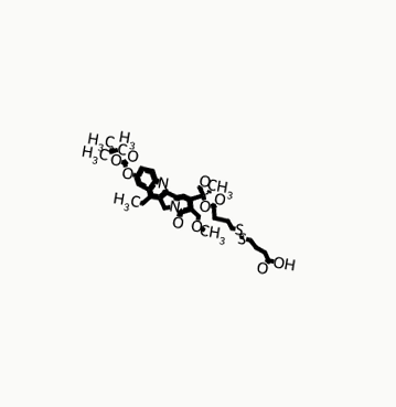 CCc1c2c(nc3ccc(OC(=O)OC(C)(C)C)cc13)-c1cc([C@](C=O)(CC)OC(=O)CCCSSCCCC(=O)O)c(COC)c(=O)n1C2